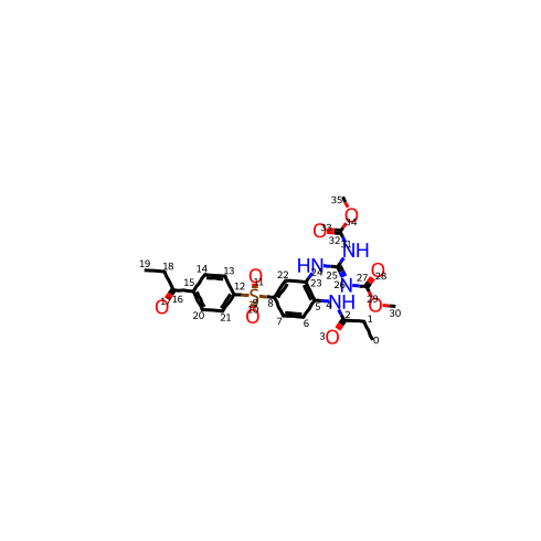 CCC(=O)Nc1ccc(S(=O)(=O)c2ccc(C(=O)CC)cc2)cc1NC(=NC(=O)OC)NC(=O)OC